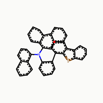 c1ccc(N(c2cccc3ccccc23)c2cc3ccccc3c3ccccc23)c(-c2cccc3c2sc2ccccc23)c1